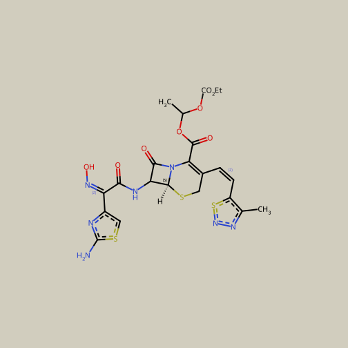 CCOC(=O)OC(C)OC(=O)C1=C(/C=C\c2snnc2C)CS[C@H]2C(NC(=O)/C(=N\O)c3csc(N)n3)C(=O)N12